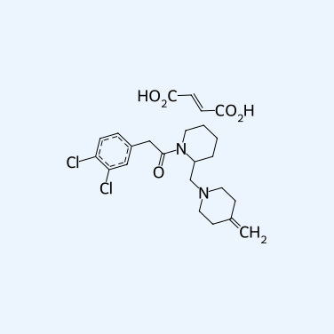 C=C1CCN(CC2CCCCN2C(=O)Cc2ccc(Cl)c(Cl)c2)CC1.O=C(O)C=CC(=O)O